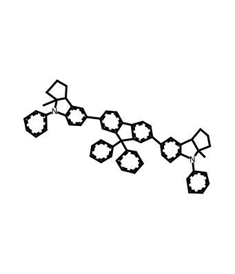 CC12CCCC1c1cc(-c3ccc4c(c3)C(c3ccccc3)(c3ccccc3)c3cc(-c5ccc6c(c5)C5CCCC5(C)N6c5ccccc5)ccc3-4)ccc1N2c1ccccc1